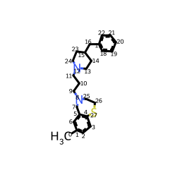 Cc1ccc2c(c1)CN(CCCN1CCC(Cc3ccccc3)CC1)CCS2